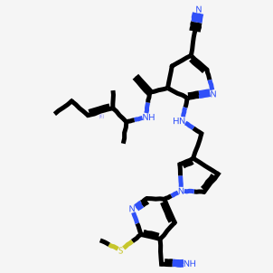 C=C(NC(C)/C(C)=C/CC)C1CC(C#N)=CN=C1NCc1ccn(-c2cnc(SC)c(C=N)c2)c1